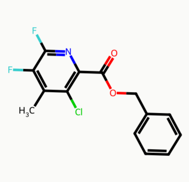 Cc1c(F)c(F)nc(C(=O)OCc2ccccc2)c1Cl